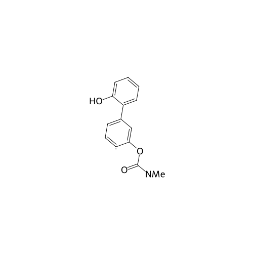 CNC(=O)Oc1[c]ccc(-c2ccccc2O)c1